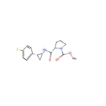 CC(C)(C)OC(=O)N1CCCC1C(=O)N[C@H]1C[C@@H]1c1ccc(F)cc1